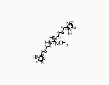 CN=C(NCCSCc1ncc[nH]1)NCCSCc1ncc[nH]1